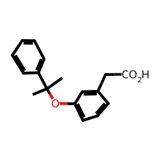 CC(C)(Oc1cccc(CC(=O)O)c1)c1ccccc1